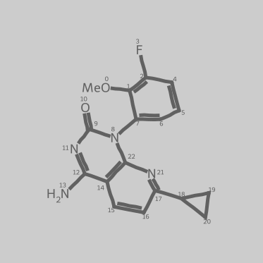 COc1c(F)cccc1-n1c(=O)nc(N)c2ccc(C3CC3)nc21